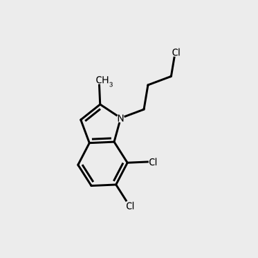 Cc1cc2ccc(Cl)c(Cl)c2n1CCCCl